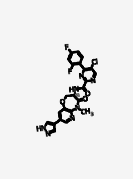 CN1C(=O)[C@@H](NC(=O)c2ncc(Cl)c(-c3ccc(F)cc3F)n2)COc2cc(-c3cn[nH]c3)cnc21